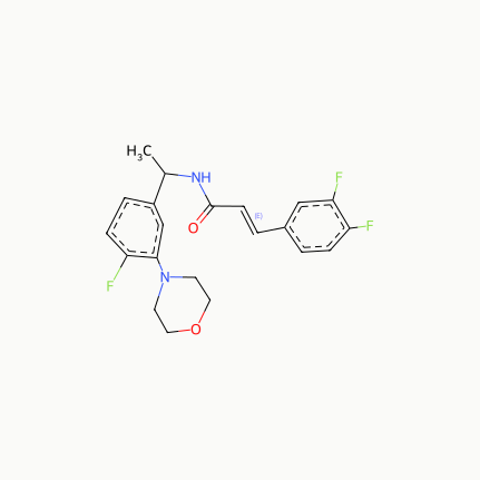 CC(NC(=O)/C=C/c1ccc(F)c(F)c1)c1ccc(F)c(N2CCOCC2)c1